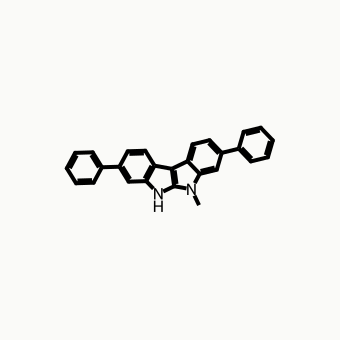 Cn1c2cc(-c3ccccc3)ccc2c2c3ccc(-c4ccccc4)cc3[nH]c21